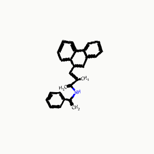 C=C(NC(=C)c1ccccc1)/C(C)=C/c1cc2ccccc2c2ccccc12